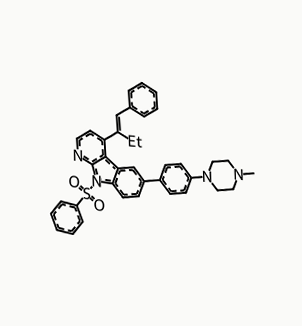 CC/C(=C\c1ccccc1)c1ccnc2c1c1cc(-c3ccc(N4CCN(C)CC4)cc3)ccc1n2S(=O)(=O)c1ccccc1